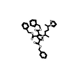 CC(CCC(C)n1nc(C(=O)OCc2ccccc2)c(C(=O)OCc2ccccc2)c1C(=O)OCc1ccccc1)n1cccn1